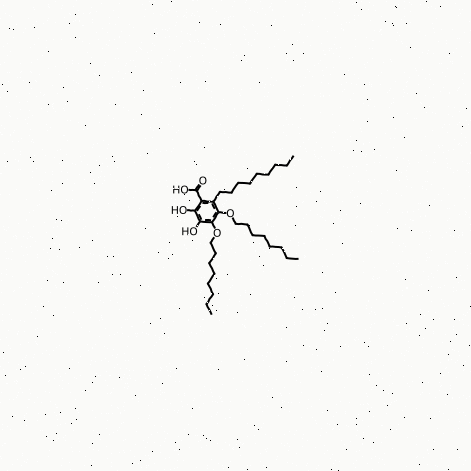 CCCCCCCCCc1c(OCCCCCCCC)c(OCCCCCCCC)c(O)c(O)c1C(=O)O